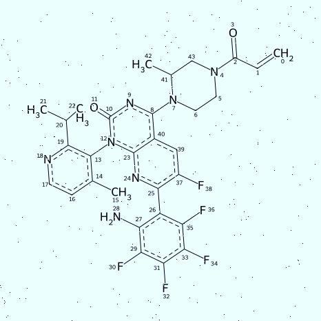 C=CC(=O)N1CCN(c2nc(=O)n(-c3c(C)ccnc3C(C)C)c3nc(-c4c(N)c(F)c(F)c(F)c4F)c(F)cc23)C(C)C1